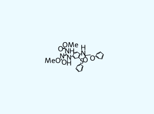 COC(=O)N=C(NC(=O)OC)Nc1ccc(NC(=O)COc2ccccc2)c(Sc2ccccc2)c1